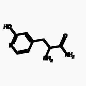 NC(=O)C(N)Cc1ccnc(O)c1